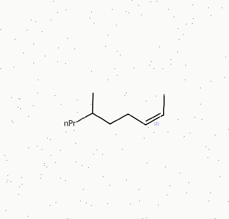 C/C=C\CCC(C)CCC